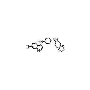 Clc1ccc2c(NC3CCC(NC4CCC5(CC4)SCCS5)CC3)ccnc2c1